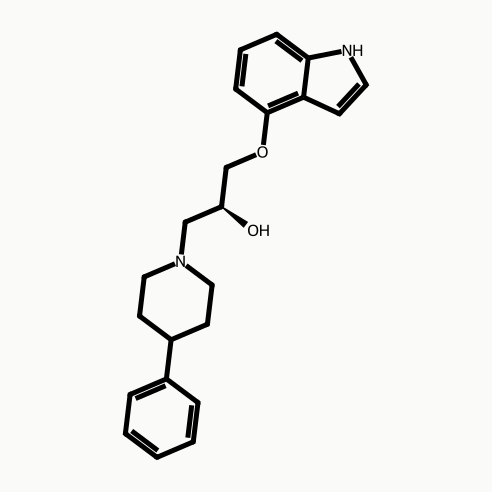 O[C@H](COc1cccc2[nH]ccc12)CN1CCC(c2ccccc2)CC1